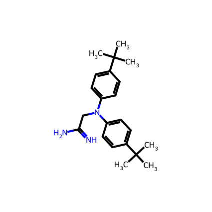 CC(C)(C)c1ccc(N(CC(=N)N)c2ccc(C(C)(C)C)cc2)cc1